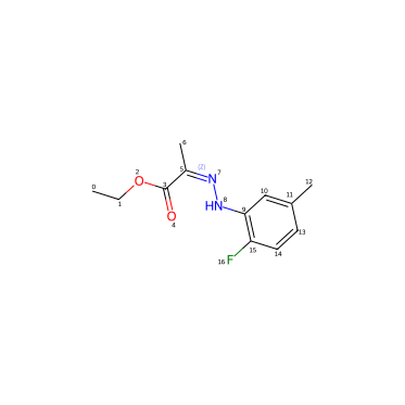 CCOC(=O)/C(C)=N\Nc1cc(C)ccc1F